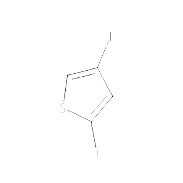 Ic1csc(I)c1